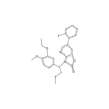 CCOc1cc(C(CSC)n2c(=O)oc3cc(-c4ccccc4F)cnc32)ccc1OC